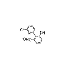 N#Cc1cccc([C]=O)c1-c1cccc(Cl)n1